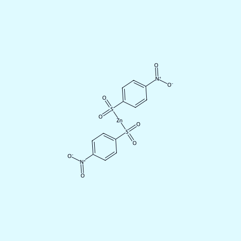 O=[N+]([O-])c1ccc([S](=O)(=O)[Zn][S](=O)(=O)c2ccc([N+](=O)[O-])cc2)cc1